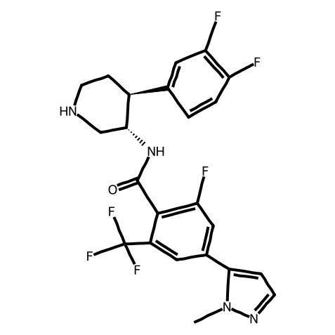 Cn1nccc1-c1cc(F)c(C(=O)N[C@@H]2CNCC[C@H]2c2ccc(F)c(F)c2)c(C(F)(F)F)c1